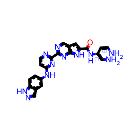 N/C=C\C(=C/N)NC(=O)c1cc2cnc(-c3nccc(Nc4ccc5[nH]ncc5c4)n3)nc2[nH]1